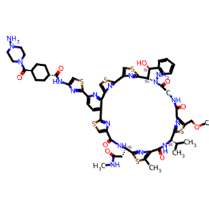 CNC(=O)C[C@@H]1NC(=O)c2csc(n2)-c2ccc(-c3nc(NC(=O)[C@H]4CC[C@H](C(=O)N5CCN(N)CC5)CC4)cs3)nc2-c2csc(n2)-c2csc(n2)[C@H]([C@@H](O)c2ccccc2)N(N)C(=O)CNC(=O)c2nc(sc2COC)[C@H](C(C)C)NC(=O)c2nc1sc2C